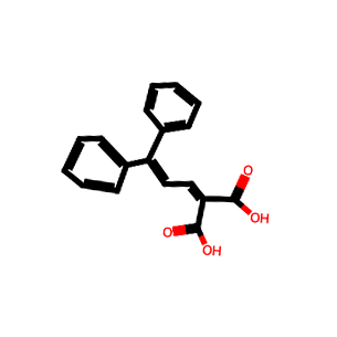 O=C(O)C(=CC=C(c1ccccc1)c1ccccc1)C(=O)O